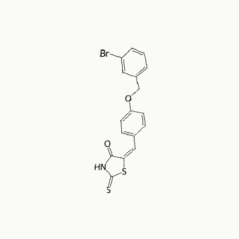 O=C1NC(=S)S/C1=C/c1ccc(OCc2cccc(Br)c2)cc1